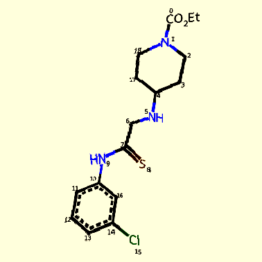 CCOC(=O)N1CCC(NCC(=S)Nc2cccc(Cl)c2)CC1